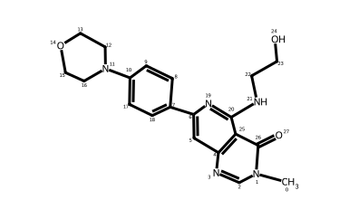 Cn1cnc2cc(-c3ccc(N4CCOCC4)cc3)nc(NCCO)c2c1=O